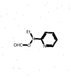 CCN(OC=O)c1ccccn1